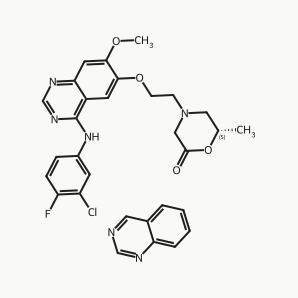 COc1cc2ncnc(Nc3ccc(F)c(Cl)c3)c2cc1OCCN1CC(=O)O[C@@H](C)C1.c1ccc2ncncc2c1